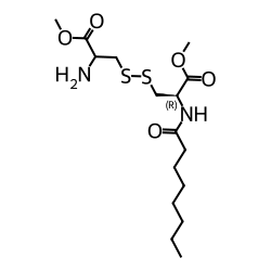 CCCCCCCC(=O)N[C@@H](CSSCC(N)C(=O)OC)C(=O)OC